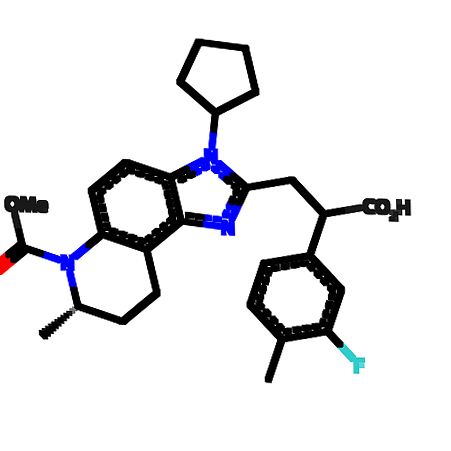 COC(=O)N1c2ccc3c(nc(CC(C(=O)O)c4ccc(C)c(F)c4)n3C3CCCC3)c2CC[C@@H]1C